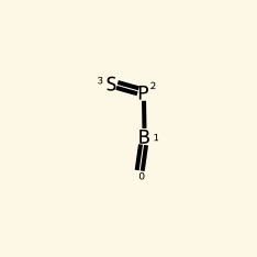 C=BP=S